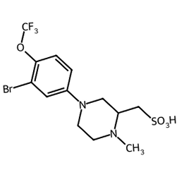 CN1CCN(c2ccc(OC(F)(F)F)c(Br)c2)CC1CS(=O)(=O)O